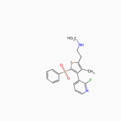 Cc1c(CCNC(=O)O)sc(S(=O)(=O)c2ccccc2)c1-c1cccnc1F